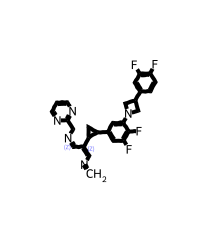 C=N/C=C(\C=N/Cc1ncccn1)C1CC1c1cc(F)c(F)c(N2CC(c3ccc(F)c(F)c3)C2)c1